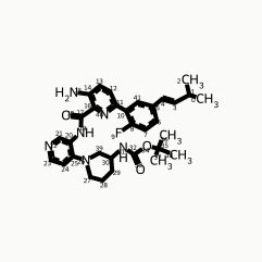 CC(C)C=Cc1ccc(F)c(-c2ccc(N)c(C(=O)Nc3cnccc3N3CCCC(NC(=O)OC(C)(C)C)C3)n2)c1